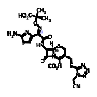 CC(C)(O/N=C(/C(=O)NC1C(=O)N2C(C(=O)O)=C(CSc3nnnn3CC#N)CS[C@H]12)c1csc(N)n1)C(=O)O